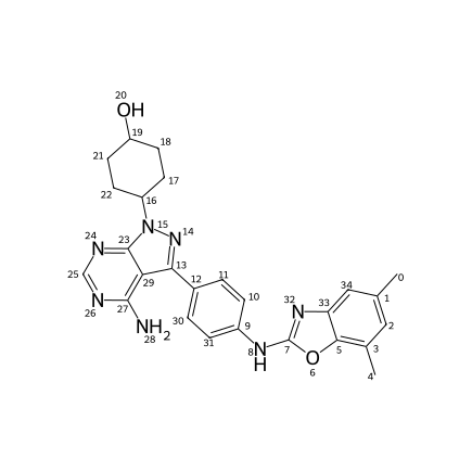 Cc1cc(C)c2oc(Nc3ccc(-c4nn(C5CCC(O)CC5)c5ncnc(N)c45)cc3)nc2c1